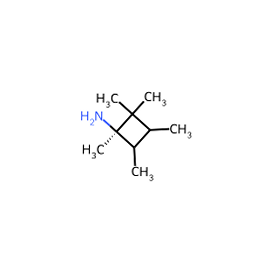 CC1C(C)[C@@](C)(N)C1(C)C